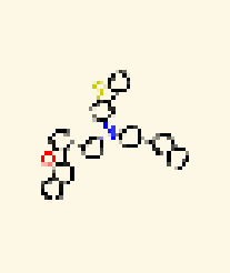 c1cc(-c2cccc3oc4c5ccccc5ccc4c23)cc(N(c2ccc(-c3ccc4ccccc4c3)cc2)c2ccc3sc4ccccc4c3c2)c1